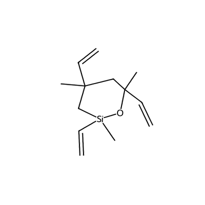 C=CC1(C)CC(C)(C=C)O[Si](C)(C=C)C1